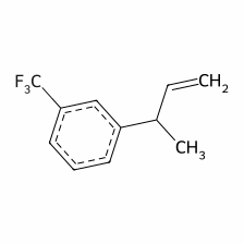 C=CC(C)c1cccc(C(F)(F)F)c1